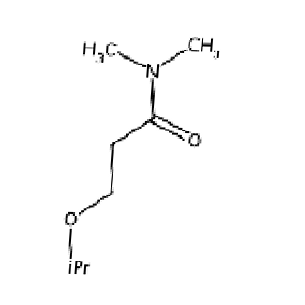 CC(C)OCCC(=O)N(C)C